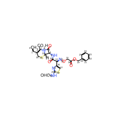 C=CC1=C(C(=O)O)N2C(=O)C(NC(=O)C(=NOCC(=O)OCc3ccccc3)c3csc(NC=O)n3)[C@@H]2SC1